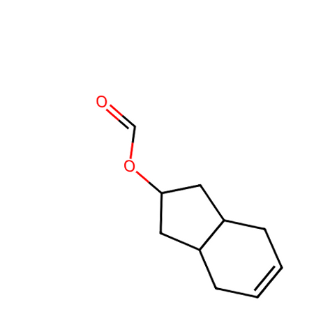 O=COC1CC2CC=CCC2C1